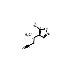 C[C@@H](CC#N)c1cnoc1O